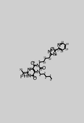 CCCCCn1c(=O)n(CCCCc2noc(-c3ccccn3)n2)c(=O)c2nc(C(C)F)[nH]c(=O)c21